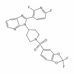 O=S(=O)(c1ccc2c(c1)OC(F)(F)O2)N1CCC(n2c(-c3ccc(F)nc3F)nc3cccnc32)CC1